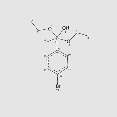 CCOP(C)(O)(OCC)c1ccc(Br)cc1